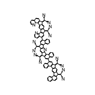 N#CC(C#N)=C1c2cc3c(cc2-c2c1ccc1ccccc21)-c1c(cc(-c2cc4c(c5ccccc25)-c2nc5c(cc2C4=C(C#N)C#N)C(=C(C#N)C#N)c2cc(-c4cc6c(c7ncccc47)-c4cc7c(cc4C6=C(C#N)C#N)C(=C(C#N)C#N)c4ccc6cccnc6c4-7)c4ccccc4c2-5)c2ccccc12)C3=C(C#N)C#N